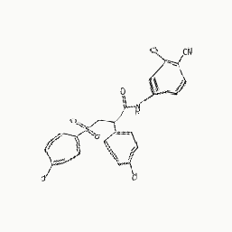 N#Cc1ccc(NC(=O)C(CS(=O)(=O)c2ccc(Cl)cc2)c2ccc(Cl)cc2)cc1Cl